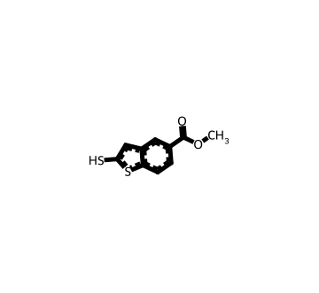 COC(=O)c1ccc2sc(S)cc2c1